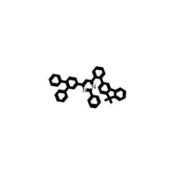 CC1(C)c2ccccc2-c2cc(-c3ccccc3-c3cc(-c4ccc(-c5ccccc5)c(-c5ccccc5)c4)nc(-c4cc#ccc4)n3)ccc21